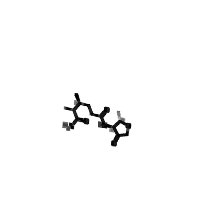 CC(C(N)=O)[C@@H](C)C[CH]C(=O)N[C@@H]1C(=O)CO[C@H]1C